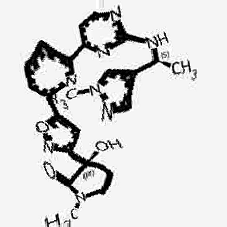 C[C@H](Nc1nccc(-c2cccc(-c3cc([C@]4(O)CCN(C)C4=O)no3)n2)n1)c1cnn(C)c1